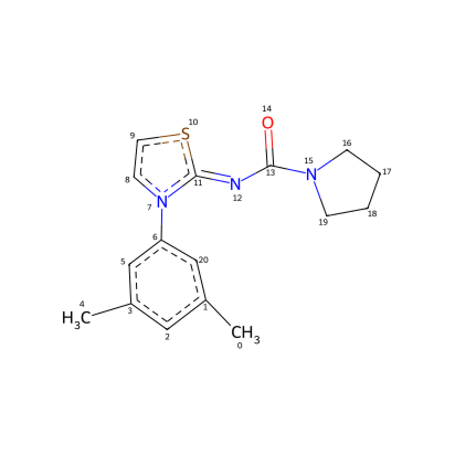 Cc1cc(C)cc(-n2ccs/c2=N\C(=O)N2CCCC2)c1